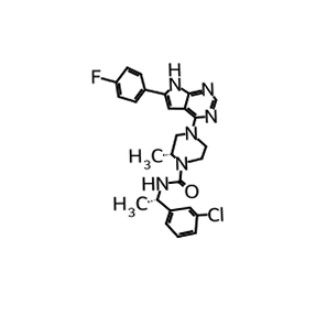 C[C@H](NC(=O)N1CCN(c2ncnc3[nH]c(-c4ccc(F)cc4)cc23)C[C@H]1C)c1cccc(Cl)c1